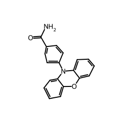 NC(=O)c1ccc(N2c3ccccc3Oc3ccccc32)cc1